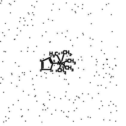 [CH3][Mo]([CH3])([CH3])([CH3])([CH3])[C]1=CC=CC1